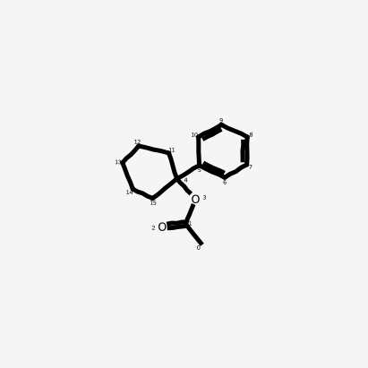 CC(=O)OC1(c2ccccc2)CCCCC1